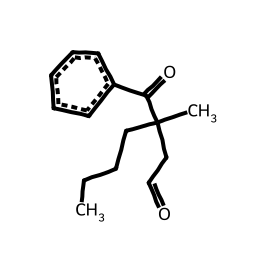 CCCCC(C)(CC=O)C(=O)c1ccccc1